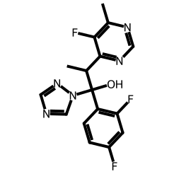 Cc1ncnc(C(C)C(O)(c2ccc(F)cc2F)n2cncn2)c1F